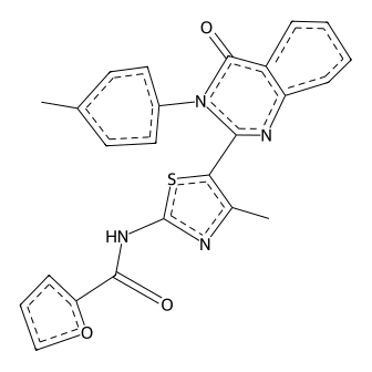 Cc1ccc(-n2c(-c3sc(NC(=O)c4ccco4)nc3C)nc3ccccc3c2=O)cc1